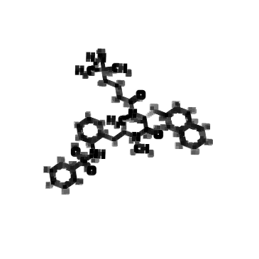 CN(CCc1ccccc1NS(=O)(=O)c1ccccc1)C(=O)[C@@H](Cc1ccc2ccccc2c1)N(C)C(=O)C=CCC(C)(C)N